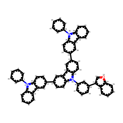 c1ccc(-n2c3ccccc3c3cc(-c4ccc5c(c4)c4cc(-c6ccc7c(c6)c6ccccc6n7-c6ccccc6)ccc4n5-c4cccc(-c5coc6ccccc56)c4)ccc32)cc1